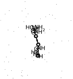 NC[C@H](NC(=O)c1ccc(C#Cc2ccc(NC(=O)CN[C@@H]3C[C@H]4CC[C@@H]3C4)cc2)cc1)C(=O)NO